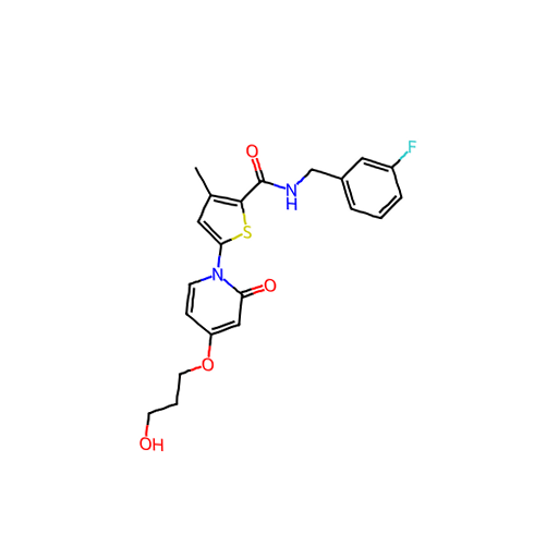 Cc1cc(-n2ccc(OCCCO)cc2=O)sc1C(=O)NCc1cccc(F)c1